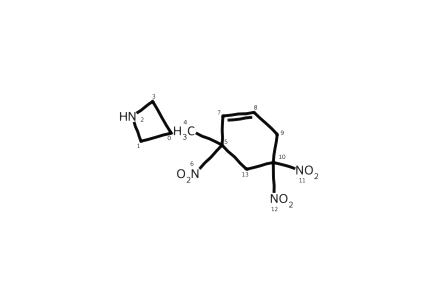 C1CNC1.CC1([N+](=O)[O-])C=CCC([N+](=O)[O-])([N+](=O)[O-])C1